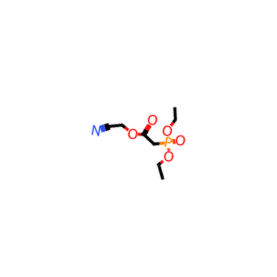 CCOP(=O)(CC(=O)OCC#N)OCC